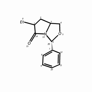 CCC1CC2CO[C@H](c3ccccc3)N2C1=O